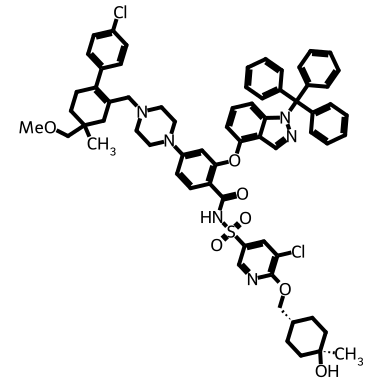 COCC1(C)CCC(c2ccc(Cl)cc2)=C(CN2CCN(c3ccc(C(=O)NS(=O)(=O)c4cnc(OC[C@H]5CC[C@](C)(O)CC5)c(Cl)c4)c(Oc4cccc5c4cnn5C(c4ccccc4)(c4ccccc4)c4ccccc4)c3)CC2)C1